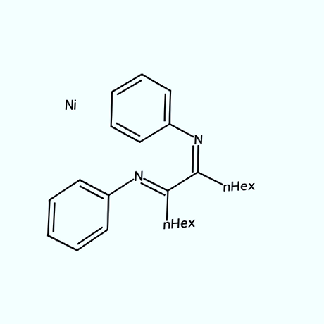 CCCCCCC(=Nc1ccccc1)C(CCCCCC)=Nc1ccccc1.[Ni]